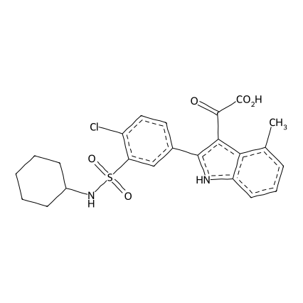 Cc1cccc2[nH]c(-c3ccc(Cl)c(S(=O)(=O)NC4CCCCC4)c3)c(C(=O)C(=O)O)c12